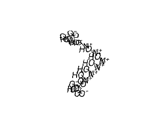 C[N+](C)(C)CCO.C[N+](C)(C)CCO.C[N+](C)(C)CCO.C[N+](C)(C)CCO.C[N+](C)(C)CCO.C[N+](C)(C)CCO.O=C([O-])CC(O)(CC(=O)[O-])C(=O)[O-].O=C([O-])CC(O)(CC(=O)[O-])C(=O)[O-]